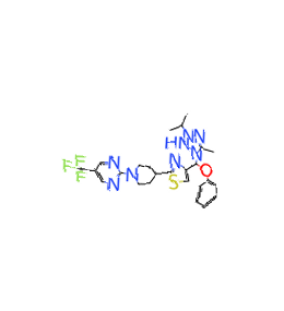 CC1=NN(C(C)C)NN1C(Oc1ccccc1)c1csc(C2CCN(c3ncc(C(F)(F)F)cn3)CC2)n1